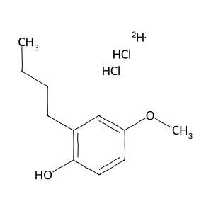 CCCCc1cc(OC)ccc1O.Cl.Cl.[2H]